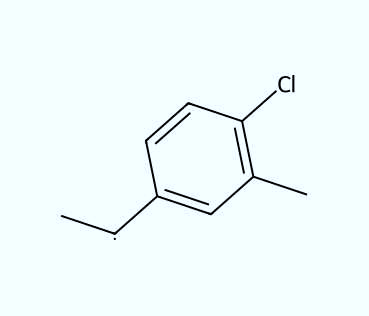 C[CH]c1ccc(Cl)c(C)c1